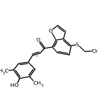 CCSc1ccc(C(=O)/C=C/c2cc(C)c(O)c(C)c2)c2occc12